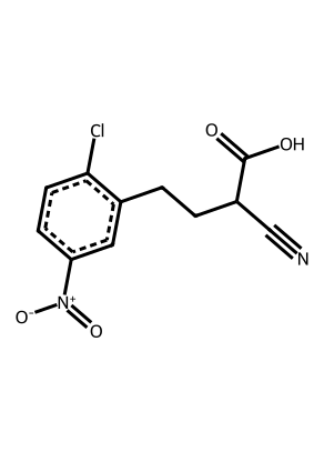 N#CC(CCc1cc([N+](=O)[O-])ccc1Cl)C(=O)O